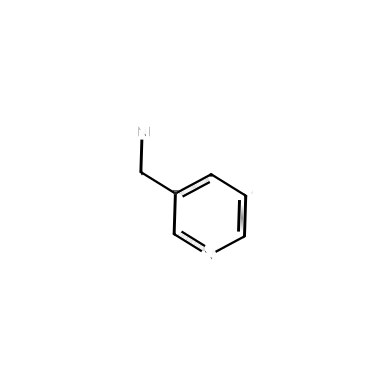 N[CH]c1cccnc1